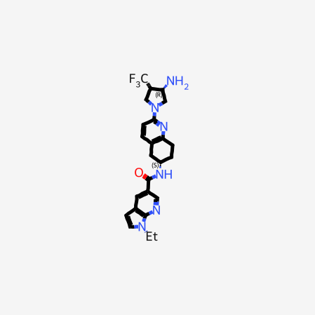 CCn1ccc2cc(C(=O)N[C@H]3CCc4nc(N5CC(C(F)(F)F)[C@@H](N)C5)ccc4C3)cnc21